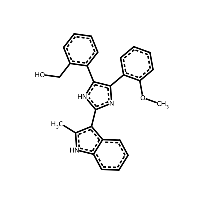 COc1ccccc1-c1nc(-c2c(C)[nH]c3ccccc23)[nH]c1-c1ccccc1CO